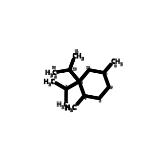 CC1CCC(C)C(C(C)C)(C(C)C)C1